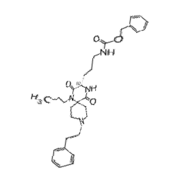 CCCN1C(=O)[C@H](CCCNC(=O)OCc2ccccc2)NC(=O)C12CCN(CCc1ccccc1)CC2